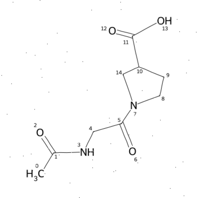 CC(=O)NCC(=O)N1CCC(C(=O)O)C1